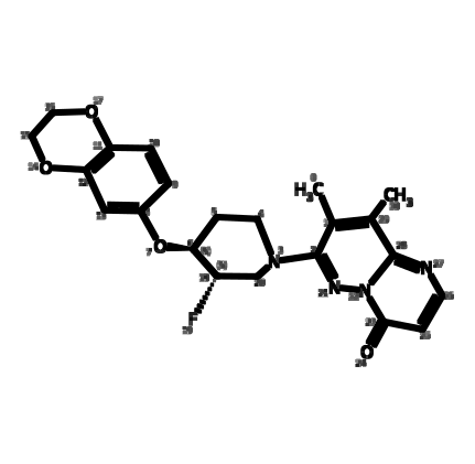 Cc1c(N2CC[C@H](Oc3ccc4c(c3)OCCO4)[C@@H](F)C2)nn2c(=O)ccnc2c1C